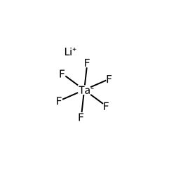 [F][Ta-]([F])([F])([F])([F])[F].[Li+]